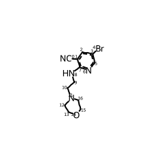 N#Cc1cc(Br)cnc1NCCN1CCOCC1